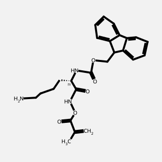 C=C(C)C(=O)ONC(=O)[C@H](CCCCN)NC(=O)OCC1c2ccccc2-c2ccccc21